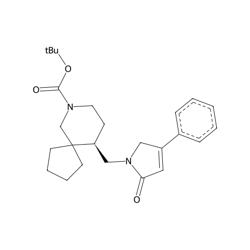 CC(C)(C)OC(=O)N1CC[C@@H](CN2CC(c3ccccc3)=CC2=O)C2(CCCC2)C1